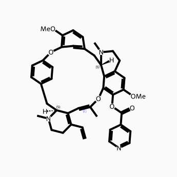 C=CC1=C2/C=C(\C)Oc3c(OC(=O)c4ccncc4)c(OC)cc4c3[C@H](Cc3ccc(OC)c(c3)Oc3ccc(cc3)C[C@@H]2N(C)CC1)N(C)CC4